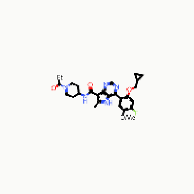 CCC(=O)N1CCC(NC(=O)c2c(C)[nH]c3c(-c4cc(OC)c(F)cc4OCC4CC4)ncnc23)CC1